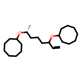 C=CC(CC[CH][C@@H](C)OC1CCCCCCC1)OC1CCCCCCC1